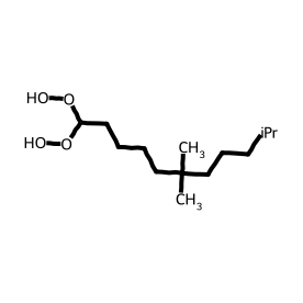 CC(C)CCCC(C)(C)CCCCC(OO)OO